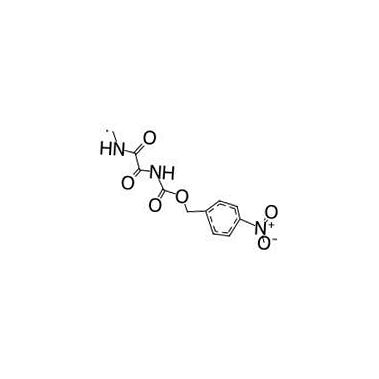 [CH2]NC(=O)C(=O)NC(=O)OCc1ccc([N+](=O)[O-])cc1